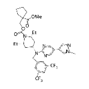 CC[C@@H]1C[C@H](N(Cc2cc(C(F)(F)F)cc(C(F)(F)F)c2)c2ncc(-c3cnn(C)c3)cn2)C[C@H](CC)N1C(=O)OCC1(C(=O)OC)CCCC1